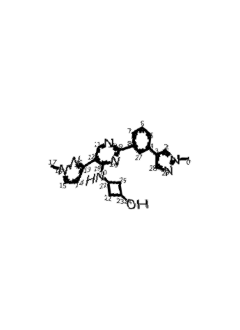 Cn1cc(-c2cccc(-c3ncc(-c4ccn(C)n4)c(NC4CC(O)C4)n3)c2)cn1